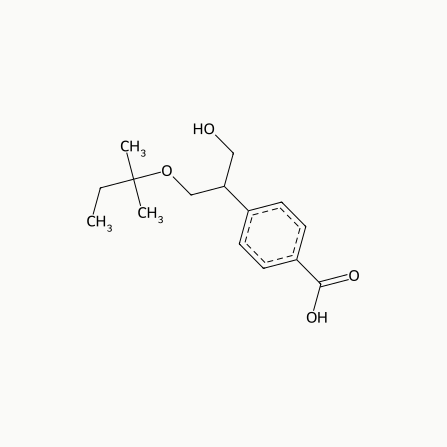 CCC(C)(C)OCC(CO)c1ccc(C(=O)O)cc1